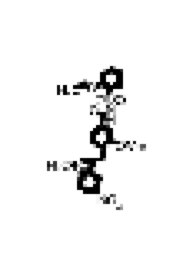 C=COc1ccccc1S(=O)(=O)NC(=O)c1ccc(Cc2cn(C)c3ccc([N+](=O)[O-])cc23)c(OC)c1